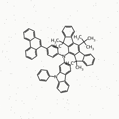 CC(C)(C)c1c2c(c(N(c3ccc(-c4cc5ccccc5c5ccccc45)cc3)c3ccc4c5ccccc5n(-c5ccccc5)c4c3)c3c1-c1ccccc1C3(C)C)C(C)(C)c1ccccc1-2